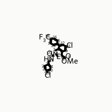 CCN(Cc1c(CC(=O)OC)cc(Cl)cc1-c1ccc(C(F)(F)F)cc1)C(=O)NCc1ccc(Cl)cc1